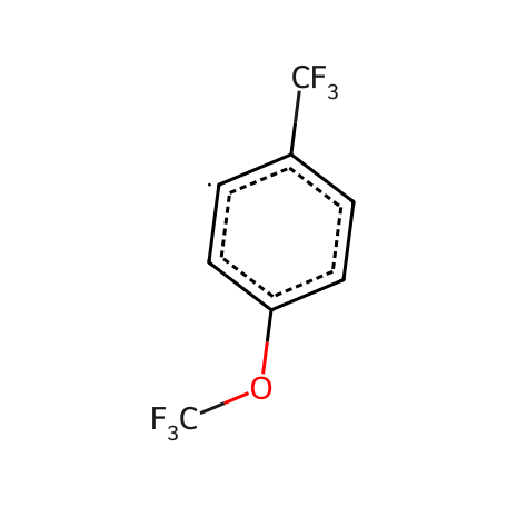 FC(F)(F)Oc1c[c]c(C(F)(F)F)cc1